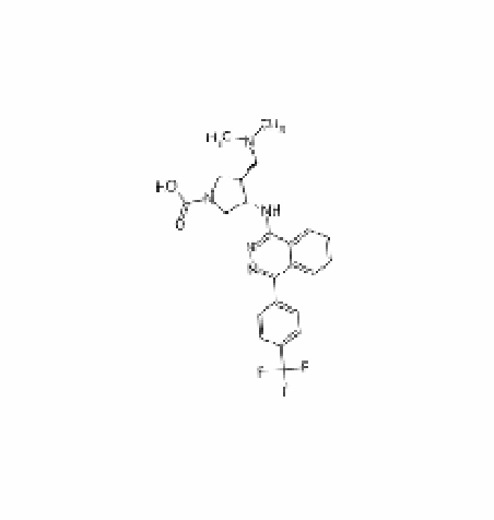 CN(C)C[C@@H]1CN(C(=O)O)C[C@H]1Nc1nnc(-c2ccc(C(F)(F)F)cc2)c2ccccc12